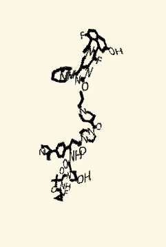 C#Cc1c(F)ccc2cc(O)cc(-c3ncc4c(N5CC6CCC(C5)N6)nc(OCCCN5CCC(C(=O)N6CCN(C(=O)CC(NC(=O)C7C[C@@H](O)CN7C(=O)[C@@H](NC(=O)C7(F)CC7)C(C)(C)C)c7ccc(C8=C(C)N=CC8)cc7)CC6)CC5)nc4c3F)c12